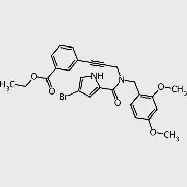 CCOC(=O)c1cccc(C#CCN(Cc2ccc(OC)cc2OC)C(=O)c2cc(Br)c[nH]2)c1